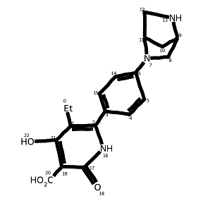 CCc1c(-c2ccc(N3CC4CC3CN4)cc2)[nH]c(=O)c(C(=O)O)c1O